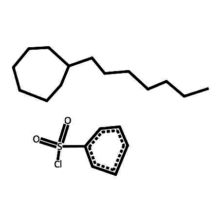 CCCCCCCC1CCCCCC1.O=S(=O)(Cl)c1ccccc1